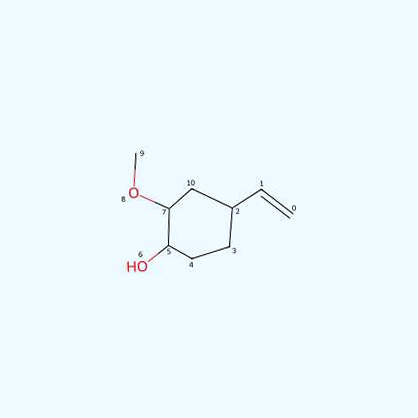 C=CC1CCC(O)C(OC)C1